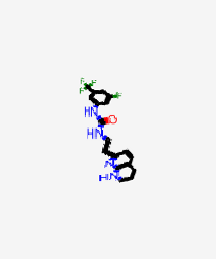 O=C(NCCc1ccc2c(n1)NCCC2)Nc1cc(F)cc(C(F)(F)F)c1